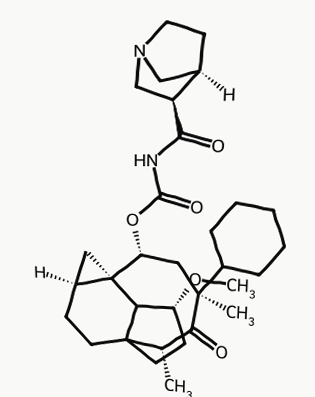 CO[C@@H]1CCC23CC[C@H]4C[C@@]4(C12)[C@H](OC(=O)NC(=O)[C@H]1CN2CC[C@@H]1C2)C[C@@](C)(C1CCCCC1)C(=O)[C@@H]3C